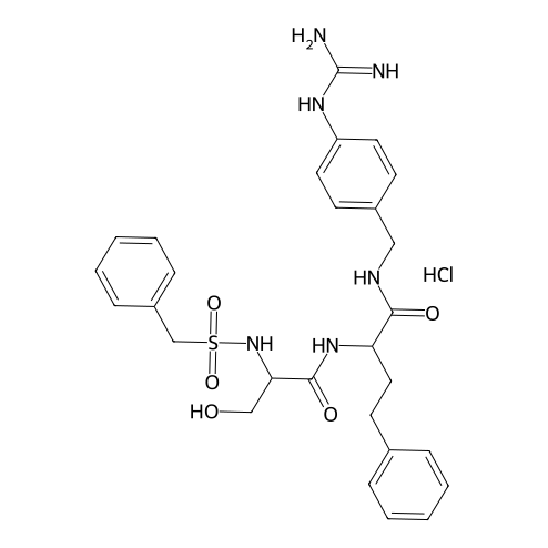 Cl.N=C(N)Nc1ccc(CNC(=O)C(CCc2ccccc2)NC(=O)C(CO)NS(=O)(=O)Cc2ccccc2)cc1